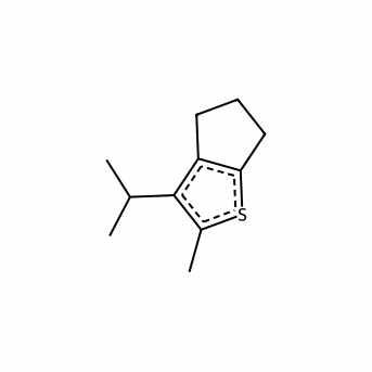 Cc1sc2c(c1C(C)C)CCC2